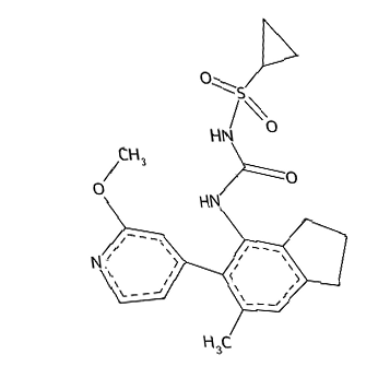 COc1cc(-c2c(C)cc3c(c2NC(=O)NS(=O)(=O)C2CC2)CCC3)ccn1